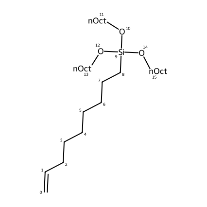 C=CCCCCCCC[Si](OCCCCCCCC)(OCCCCCCCC)OCCCCCCCC